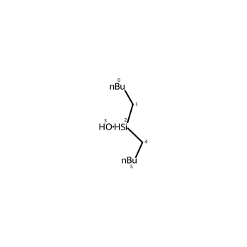 CCCCC[SiH](O)CCCCC